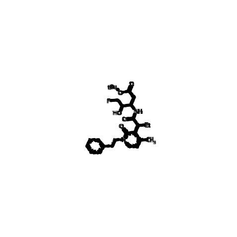 CCC(C(=O)NC(CC(=O)OC(C)(C)C)C(O)CF)c1c(C)ccn(CCc2ccccc2)c1=O